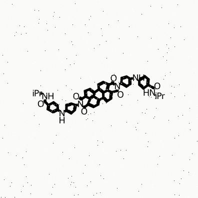 CC(C)NC(=O)c1ccc(Nc2ccc(N3C(=O)c4ccc5c6ccc7c8c(ccc(c9ccc(c4c59)C3=O)c86)C(=O)N(c3ccc(Nc4ccc(C(=O)NC(C)C)cc4)cc3)C7=O)cc2)cc1